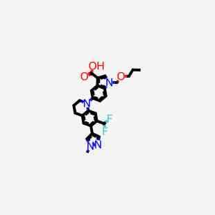 CCCOCn1cc(C(=O)O)c2cc(N3CCCc4cc(-c5cnn(C)c5)c(C(F)F)cc43)ccc21